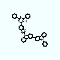 c1ccc(C2=NC(c3ccc4nc(-n5c6ccccc6c6cc(-c7ccc8c(c7)c7ccccc7n8-c7ccccc7)ccc65)oc4c3)NC(c3ccccc3)=N2)cc1